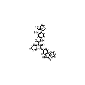 O=C(Nc1ccc2c(c1)NC(=O)C21CCOCC1)C(C(=O)Nc1ccc2c(c1)NC(=O)C21CCOCC1)C1CCCCC1